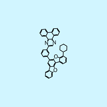 c1cc(-c2cnc3c4ccccc4c4ccccc4c3n2)cc(-c2cc3c4ccccc4oc3c3c2oc2c(C4CCCCC4)cccc23)c1